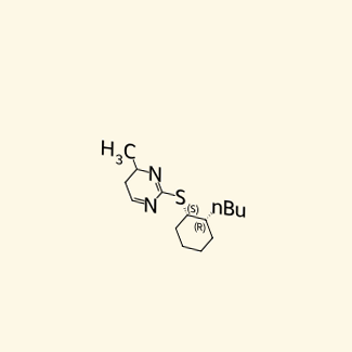 CCCC[C@@H]1CCCC[C@@H]1SC1=NC(C)CC=N1